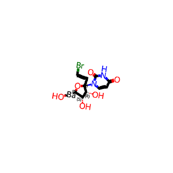 O=c1ccn([C@]2(C=CBr)O[C@H]([Ba][OH])[C@@H](O)[C@H]2O)c(=O)[nH]1